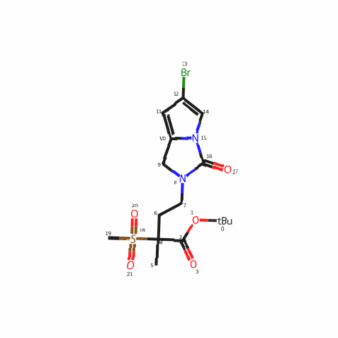 CC(C)(C)OC(=O)C(C)(CCN1Cc2cc(Br)cn2C1=O)S(C)(=O)=O